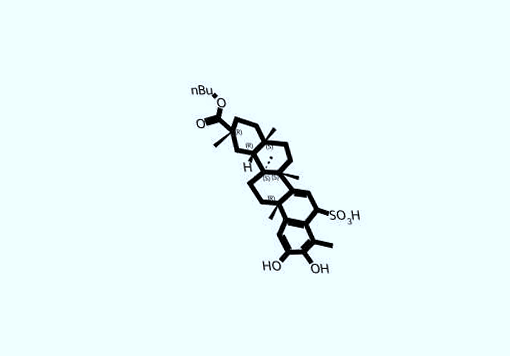 CCCCOC(=O)[C@]1(C)CC[C@]2(C)CC[C@]3(C)C4=CC(S(=O)(=O)O)c5c(cc(O)c(O)c5C)[C@]4(C)CC[C@@]3(C)[C@@H]2C1